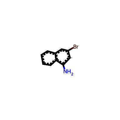 Nc1[c]c(Br)cc2ccccc12